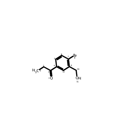 CCC(=O)c1ccc(Br)c(CO)c1